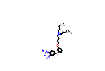 CCCCN(CCCC)CCCCOc1cccc(Sc2ccc(N)c(N)c2)c1